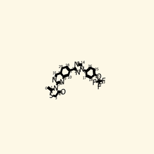 C=C1SCC(=O)N1C1=NC2=CC(c3ncn(-c4ccc(OC(F)(F)F)cc4)n3)=CCC2C=N1